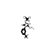 CC1NN(SC(Cl)(Cl)Cl)C(=O)N1c1cccc(C(F)(F)F)c1